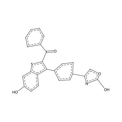 O=C(c1ccccc1)c1sc2cc(O)ccc2c1-c1ccc(-c2coc(O)n2)cc1